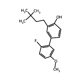 COc1ccc(F)c(-c2ccc(O)c(CCC(C)(C)C)c2)c1